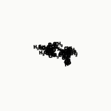 COc1ccc(C2=CN3C(=O)c4cc(OC)c(OCCCCCOc5cc6c(cc5OC)C(=O)N5CC(OS(=O)(=O)C(F)(F)F)=C[C@H]5[C@H](O[Si](C)(C)C(C)(C)C)N6C(=O)OCC(Cl)(Cl)Cl)cc4N(C(=O)OCC(Cl)(Cl)Cl)[C@H](O[Si](C)(C)C(C)(C)C)[C@@H]3C2)cc1